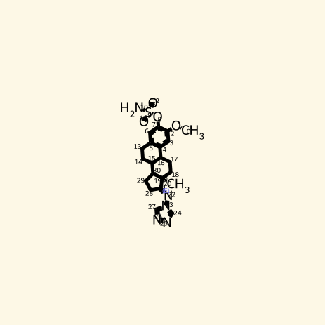 COc1cc2c(cc1OS(N)(=O)=O)CCC1C2CC[C@]2(C)/C(=N/n3cnnc3)CCC12